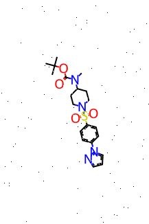 CN(C(=O)OC(C)(C)C)C1CCN(S(=O)(=O)c2ccc(-n3cccn3)cc2)CC1